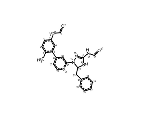 Cc1ccc(NC=O)cc1-c1ccnc(N2N=C(NC=O)NC2Cc2ccccc2)c1